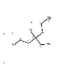 CCCC(C)(CC)CCO